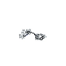 CCCNc1nc(Nc2ccc3cnn(C)c3c2)ncc1C#CCCCNC(=O)[C@H](C)N(C)C(=O)/C=C/CN(C)C